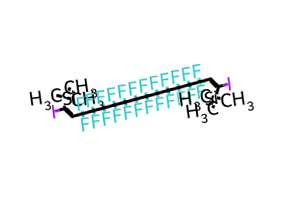 C[Si](C)(C)/C(I)=C\C(F)(F)C(F)(F)C(F)(F)C(F)(F)C(F)(F)C(F)(F)C(F)(F)C(F)(F)C(F)(F)C(F)(F)C(F)(F)C(F)(F)/C=C(/I)[Si](C)(C)C